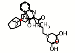 CCCC1CCC(N2C3CCC2CC(n2c(=O)c(C(=O)NCCN(CC(=O)O)CC(=O)O)nc4ccccc42)C3)C1